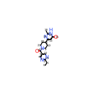 CCc1ncc(C(=O)N2CCC(c3cc(=O)[nH]c(C)n3)CC2)cn1